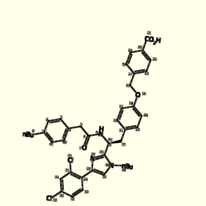 CCCCc1ccc(CC(=O)N[C@@H](Cc2ccc(OCc3ccc(C(=O)O)cc3)cc2)c2nc(-c3ccc(Cl)cc3Cl)cn2CCCC)cc1